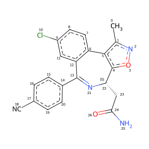 Cc1noc2c1-c1ccc(Cl)cc1C(c1ccc(C#N)cc1)=N[C@H]2CC(N)=O